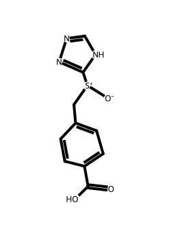 O=C(O)c1ccc(C[S+]([O-])c2nnc[nH]2)cc1